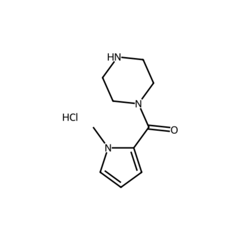 Cl.Cn1cccc1C(=O)N1CCNCC1